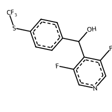 OC(c1ccc(SC(F)(F)F)cc1)c1c(F)cncc1F